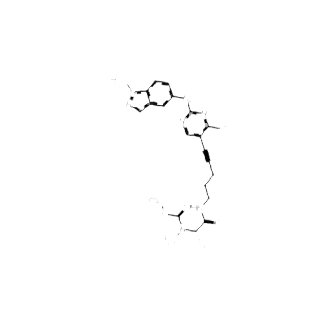 C[C@@H](C(=O)NCCCC#Cc1cnc(Nc2ccc3c(cnn3C)c2)nc1Cl)N(C)C(=O)OC(C)(C)C